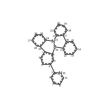 c1ccc(-c2ccc3c(c2)B2c4ccccc4-c4ccccc4N2c2ccccc2-3)nc1